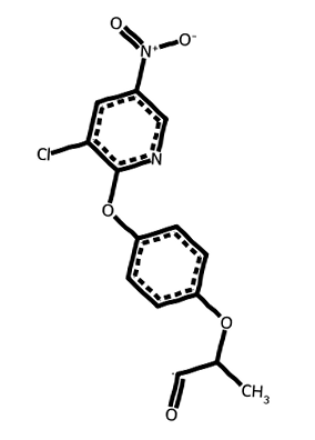 CC([C]=O)Oc1ccc(Oc2ncc([N+](=O)[O-])cc2Cl)cc1